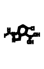 OB(O)c1c(Cl)ccc2c1cnn2PI